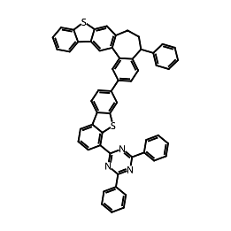 c1ccc(-c2nc(-c3ccccc3)nc(-c3cccc4c3sc3cc(-c5ccc6c(c5)-c5cc7c(cc5CCC6c5ccccc5)sc5ccccc57)ccc34)n2)cc1